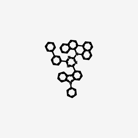 c1ccc(-c2cccc(-c3nc(-c4cccc5c4c4ccccc4n5-c4ccccc4)nc(N4c5c(ccc6ccccc56)-c5cccc6cccc4c56)n3)c2)cc1